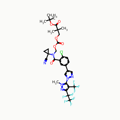 Cn1nc(C(F)(F)C(F)(F)F)c(C(F)(F)F)c1-n1cc(-c2ccc(Cl)c(C(=O)N(COC(=O)OCC(C)(C)C(=O)OC(C)(C)C)C3(C#N)CC3)c2)cn1